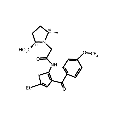 CCc1cc(C(=O)c2ccc(OC(F)(F)F)cc2)c(NC(=O)CN2[C@@H](C(=O)O)CC[C@@H]2C)s1